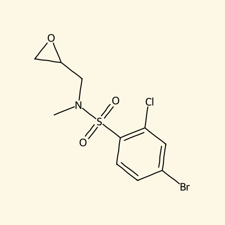 CN(CC1CO1)S(=O)(=O)c1ccc(Br)cc1Cl